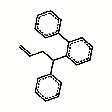 C=CCC(c1ccccc1)c1ccccc1-c1ccccc1